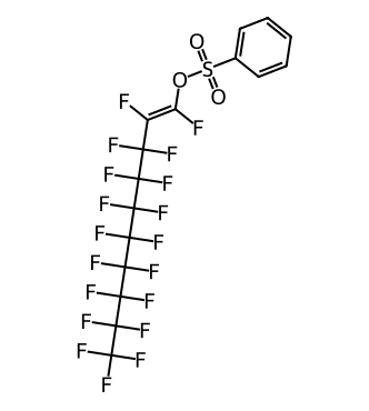 O=S(=O)(OC(F)=C(F)C(F)(F)C(F)(F)C(F)(F)C(F)(F)C(F)(F)C(F)(F)C(F)(F)C(F)(F)F)c1ccccc1